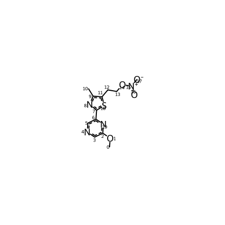 COc1cncc(-c2nc(C)c(CCO[N+](=O)[O-])s2)n1